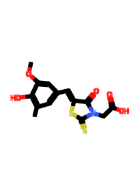 COc1cc(/C=C2\SC(=S)N(CC(=O)O)C2=O)cc(C)c1O